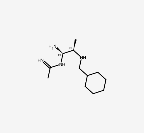 CC(=N)N[C@@H](N)[C@@H](C)NCC1CCCCC1